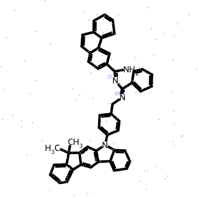 CC1(C)c2ccccc2-c2cc3c4ccccc4n(-c4ccc(C/N=C(\N=C(/N)c5ccc6ccc7ccccc7c6c5)c5ccccc5)cc4)c3cc21